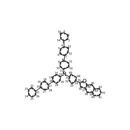 c1ccc(-c2ccc(-c3ccc(N(c4ccc(-c5ccc(-c6ccccc6)cc5)cc4)c4ccc(-c5cc6cc7ccccc7cc6o5)cc4)cc3)cc2)cc1